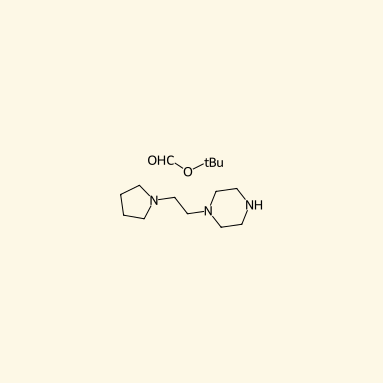 C1CCN(CCN2CCNCC2)C1.CC(C)(C)OC=O